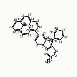 Brc1ccc2c(c1)c1ccc(-c3ccc4ccc5cccc6ccc3c4c56)cc1n2-c1ccccc1